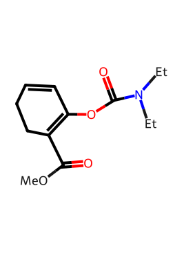 CCN(CC)C(=O)OC1=C(C(=O)OC)CCC=C1